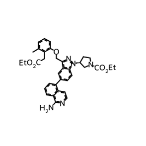 CCOC(=O)Cc1c(C)cccc1OCc1nn([C@H]2CCN(C(=O)OCC)C2)c2ccc(-c3cccc4c(N)nccc34)cc12